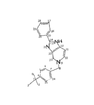 CC(C)(C)c1ccc(CN2C=Cc3[nH]c(-c4ccccc4)nc3C2)cc1